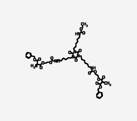 C=C(C(=O)OCCOC(=O)NCCCCCCn1c(=O)n(CCCCCCNC(=O)OCC)c(=O)n(CCCCCCNC(=O)OCCOC(=O)C(=C)C(=O)OCc2ccccc2)c1=O)C(=O)OCc1ccccc1